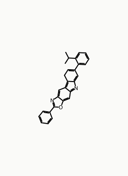 CC(C)c1ccccc1C1=CCC2=c3cc4nc(-c5ccccc5)oc4cc3=NC2=C1